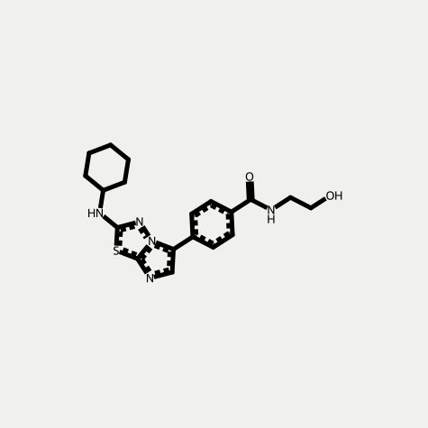 O=C(NCCO)c1ccc(-c2cnc3sc(NC4CCCCC4)nn23)cc1